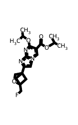 CC(C)OC(=O)c1cn2cc(C34COC(CF)(C3)C4)nc2nc1OC(C)C